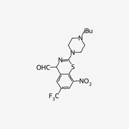 CCC(C)N1CCN(C2=NC(C=O)c3cc(C(F)(F)F)cc([N+](=O)[O-])c3S2)CC1